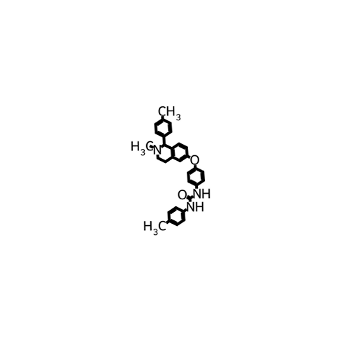 Cc1ccc(NC(=O)Nc2ccc(Oc3ccc4c(c3)CCN(C)C4c3ccc(C)cc3)cc2)cc1